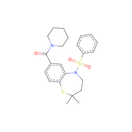 CC1(C)CCN(S(=O)(=O)c2ccccc2)c2cc(C(=O)N3CCCCC3)ccc2S1